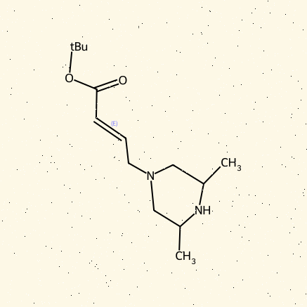 CC1CN(C/C=C/C(=O)OC(C)(C)C)CC(C)N1